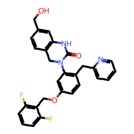 O=C1Nc2cc(CO)ccc2CN1c1cc(OCc2c(F)cccc2F)ccc1Cc1ccccn1